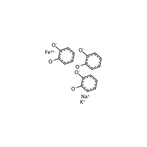 [Fe+3].[K+].[Na+].[O-]c1ccccc1[O-].[O-]c1ccccc1[O-].[O-]c1ccccc1[O-]